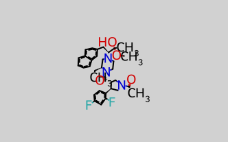 CC[C@H]1CN([C@@H](Cc2ccc3ccccc3c2)C(C)(O)OC)CCN1C(=O)[C@@H]1CN(C(C)=O)C[C@H]1c1ccc(F)cc1F